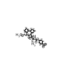 COCCN1C(=O)[C@@H](NC(=O)[C@H](C)OC(=O)Oc2ccc([N+](=O)[O-])cc2)c2ccccc2-c2ccccc21